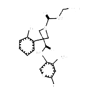 CCOC(=O)CNC(=O)N1CC(C(=O)Nc2cnc(Cl)cc2OC)(c2ccccc2C(C)C)C1